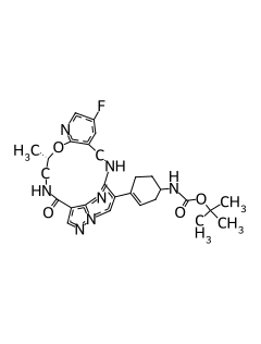 C[C@H]1CNC(=O)c2cnn3cc(C4=CCC(NC(=O)OC(C)(C)C)CC4)c(nc23)NCc2cc(F)cnc2O1